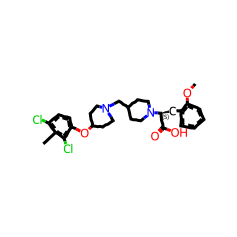 COc1ccccc1C[C@@H](C(=O)O)N1CCC(CN2CCC(Oc3ccc(Cl)c(C)c3Cl)CC2)CC1